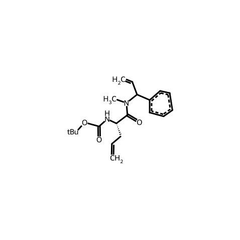 C=CC[C@H](NC(=O)OC(C)(C)C)C(=O)N(C)C(C=C)c1ccccc1